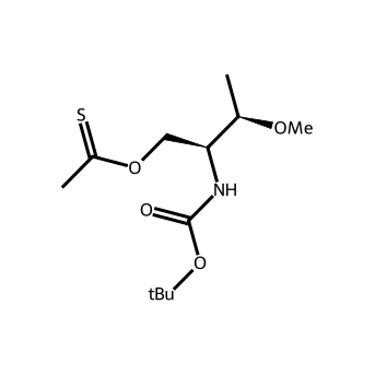 CO[C@H](C)[C@H](COC(C)=S)NC(=O)OC(C)(C)C